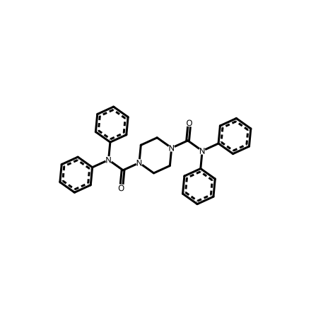 O=C(N1CCN(C(=O)N(c2ccccc2)c2ccccc2)CC1)N(c1ccccc1)c1ccccc1